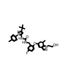 Cc1ccc(-n2nc(C(C)(C)C)cc2NC(=O)NCc2cc(F)ccc2OC2=Cc3cnn(CCO)c3C(C)C2)cc1